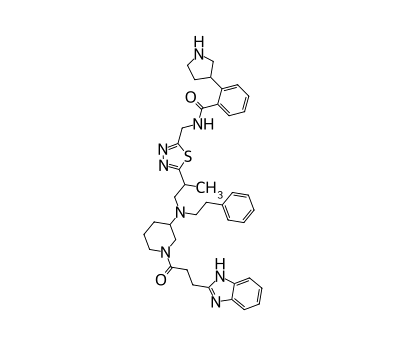 CC(CN(CCc1ccccc1)C1CCCN(C(=O)CCc2nc3ccccc3[nH]2)C1)c1nnc(CNC(=O)c2ccccc2C2CCNC2)s1